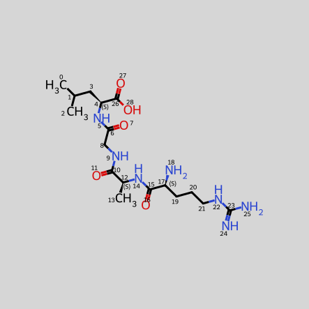 CC(C)C[C@H](NC(=O)CNC(=O)[C@H](C)NC(=O)[C@@H](N)CCCNC(=N)N)C(=O)O